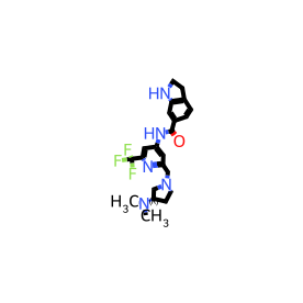 CN(C)[C@@H]1CCN(Cc2cc(NC(=O)c3ccc4c(c3)NCC4)cc(C(F)(F)F)n2)C1